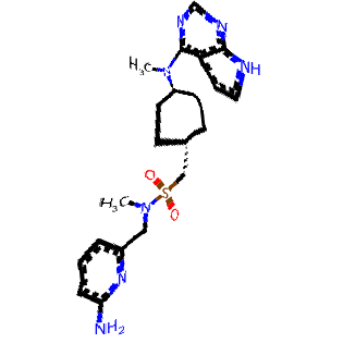 CN(Cc1cccc(N)n1)S(=O)(=O)C[C@H]1CC[C@H](N(C)c2ncnc3[nH]ccc23)CC1